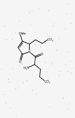 COC1=CC(=O)N(C(=O)C(N)CCC(Cl)(Cl)Cl)C1CCC(Cl)(Cl)Cl